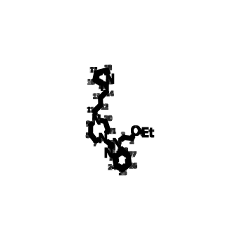 CCOCCn1c(N2CCCN(CCCCn3cccn3)CC2)nc2ccccc21